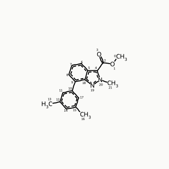 COC(=O)c1c2cccc(-c3cc(C)cc(C)c3)c2nn1C